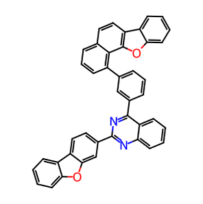 c1cc(-c2nc(-c3ccc4c(c3)oc3ccccc34)nc3ccccc23)cc(-c2cccc3ccc4c5ccccc5oc4c23)c1